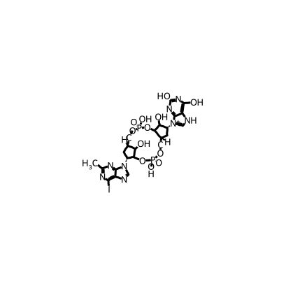 Cc1nc(I)c2ncn([C@@H]3C[C@@H]4COP(=O)(O)OC5C(O)[C@H]([n+]6c[nH]c7c(O)nc(O)nc76)C[C@@H]5COP(=O)(O)OC3C4O)c2n1